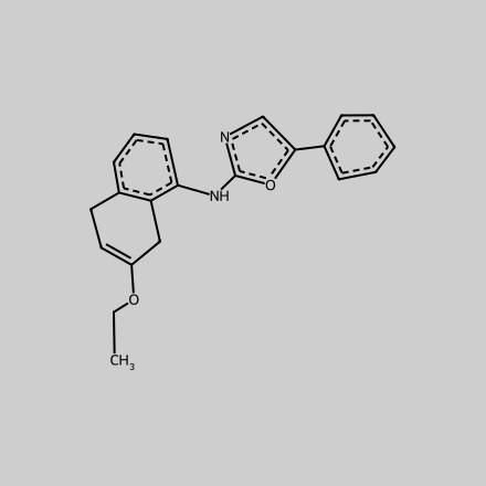 CCOC1=CCc2cccc(Nc3ncc(-c4ccccc4)o3)c2C1